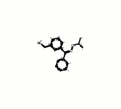 CC(C)O/N=C(/c1ccccc1)c1cccc(CBr)c1